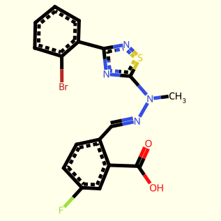 CN(/N=C/c1ccc(F)cc1C(=O)O)c1nc(-c2ccccc2Br)ns1